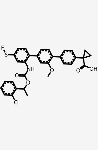 COc1cc(-c2ccc(SF)cc2NC(=O)OC(C)c2ccccc2Cl)ccc1-c1ccc(C2(C(=O)O)CC2)cc1